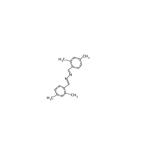 Cc1ccc(C=NN=Cc2ccc(C)cc2C)c(C)c1